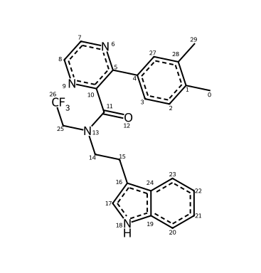 Cc1ccc(-c2nccnc2C(=O)N(CCc2c[nH]c3ccccc23)CC(F)(F)F)cc1C